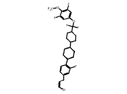 CC/C=C\Cc1ccc(C2CCC(C3CCC(C(F)(F)Oc4cc(F)c(OC(F)(F)F)c(F)c4)CC3)CC2)c(F)c1